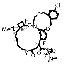 CO[C@H]1/C=C/CCN(C)C(=O)C[C@](F)(C(=O)NS(=O)(=O)N(C)C)c2ccc3c(c2)N(CCCCc2cc(Cl)ccc2CO3)C[C@@H]2CC[C@H]21